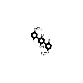 Oc1cc(-c2cc(OC(F)(F)F)ccc2F)c(O)cc1-c1cc(OC(F)(F)F)ccc1F